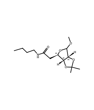 CCCCNC(=O)C[C@H]1OC(OC)[C@@H]2OC(C)(C)O[C@H]12